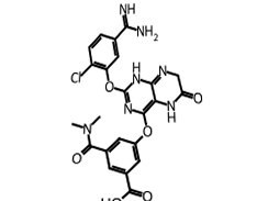 CN(C)C(=O)c1cc(OC2=C3NC(=O)CN=C3NC(Oc3cc(C(=N)N)ccc3Cl)=N2)cc(C(=O)O)c1